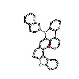 c1ccc(-c2ccccc2N(c2ccc3ccccc3c2)c2ccc3c(ccc4oc5ccccc5c43)c2)cc1